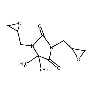 CCCCC1(C)C(=O)N(CC2CO2)C(=O)N1CC1CO1